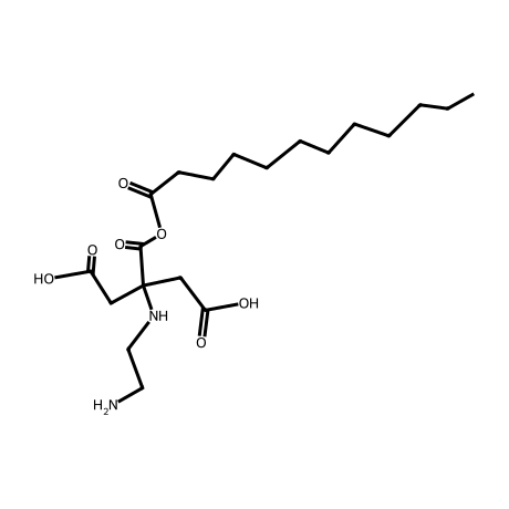 CCCCCCCCCCCC(=O)OC(=O)C(CC(=O)O)(CC(=O)O)NCCN